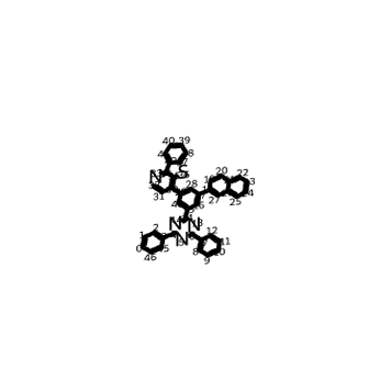 c1ccc(-c2nc(-c3ccccc3)nc(-c3cc(-c4ccc5ccccc5c4)cc(-c4ccnc5c4sc4ccccc45)c3)n2)cc1